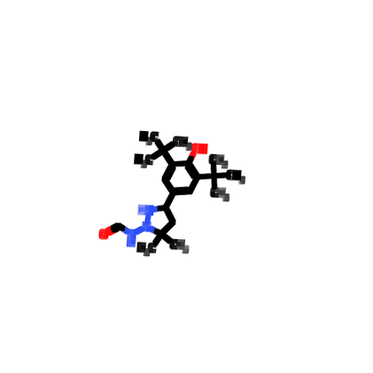 CC(C)(C)c1cc(C2CC(C)(C)N(NC=O)N2)cc(C(C)(C)C)c1O